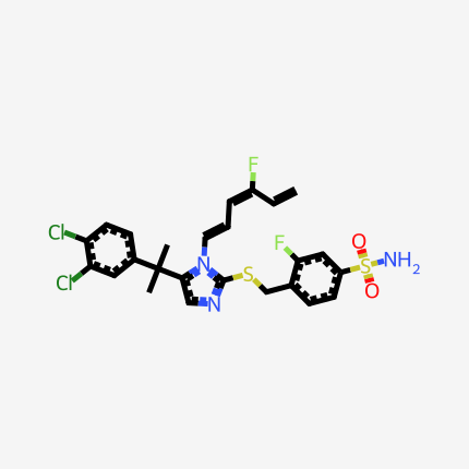 C=C/C(F)=C\C=C\n1c(C(C)(C)c2ccc(Cl)c(Cl)c2)cnc1SCc1ccc(S(N)(=O)=O)cc1F